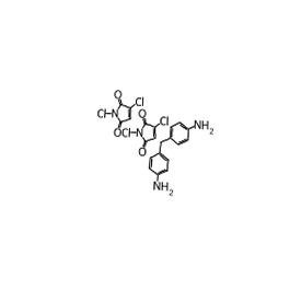 Nc1ccc(Cc2ccc(N)cc2)cc1.O=C1C=C(Cl)C(=O)N1Cl.O=C1C=C(Cl)C(=O)N1Cl